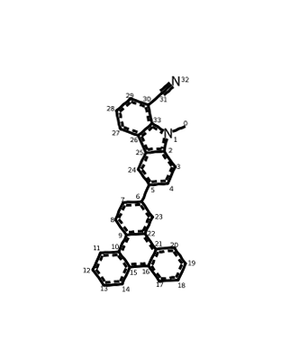 Cn1c2ccc(-c3ccc4c5ccccc5c5ccccc5c4c3)cc2c2cccc(C#N)c21